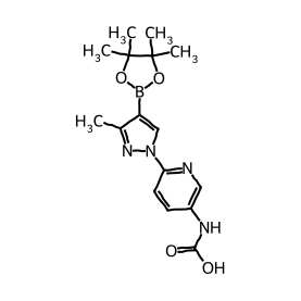 Cc1nn(-c2ccc(NC(=O)O)cn2)cc1B1OC(C)(C)C(C)(C)O1